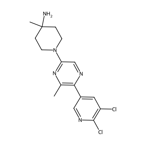 Cc1nc(N2CCC(C)(N)CC2)cnc1-c1cnc(Cl)c(Cl)c1